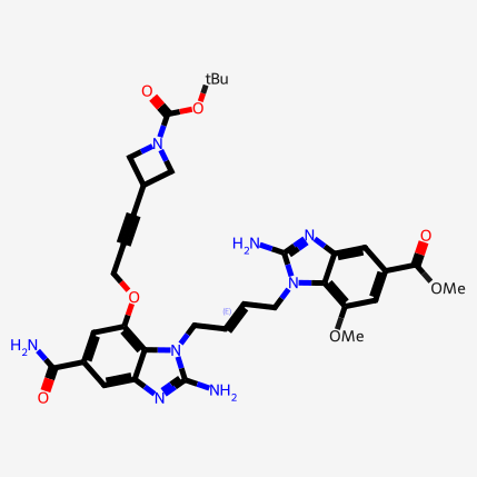 COC(=O)c1cc(OC)c2c(c1)nc(N)n2C/C=C/Cn1c(N)nc2cc(C(N)=O)cc(OCC#CC3CN(C(=O)OC(C)(C)C)C3)c21